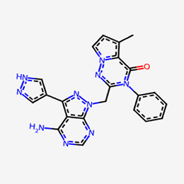 Cc1ccn2nc(Cn3nc(-c4cn[nH]c4)c4c(N)ncnc43)n(-c3ccccc3)c(=O)c12